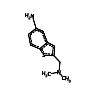 CN(C)Cc1cc2cc(N)ccc2s1